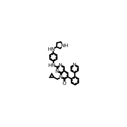 O=c1c(-c2ccccc2-c2ccncc2)cc2cnc(Nc3ccc(NC4CCNC4)cc3)nc2n1CC1CC1